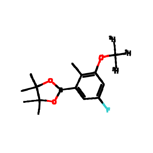 [2H]C([2H])([2H])Oc1cc(F)cc(B2OC(C)(C)C(C)(C)O2)c1C